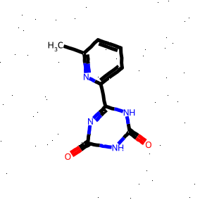 Cc1cccc(-c2nc(=O)[nH]c(=O)[nH]2)n1